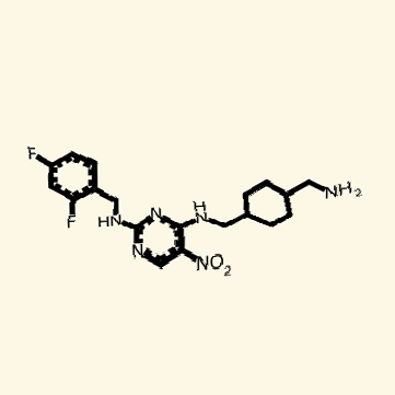 NCC1CCC(CNc2nc(NCc3ccc(F)cc3F)ncc2[N+](=O)[O-])CC1